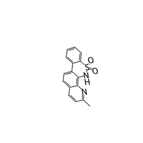 Cc1ccc2ccc3c(c2n1)NS(=O)(=O)c1ccccc1-3